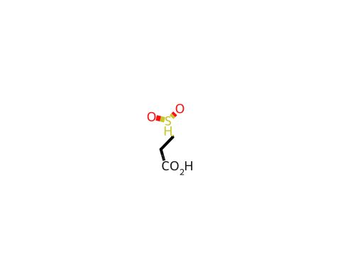 O=C(O)CC[SH](=O)=O